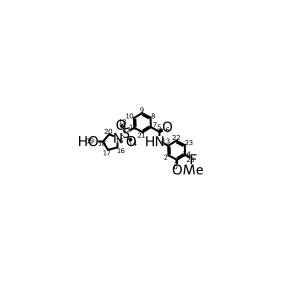 COc1cc(NC(=O)c2cccc(S(=O)(=O)N3CCC(O)C3)c2)ccc1F